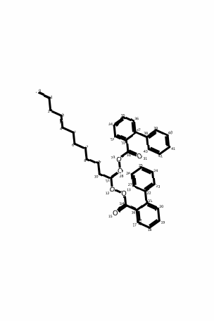 [CH2]CCCCCCCCCC[C](OOC(=O)c1ccccc1-c1ccccc1)OOC(=O)c1ccccc1-c1ccccc1